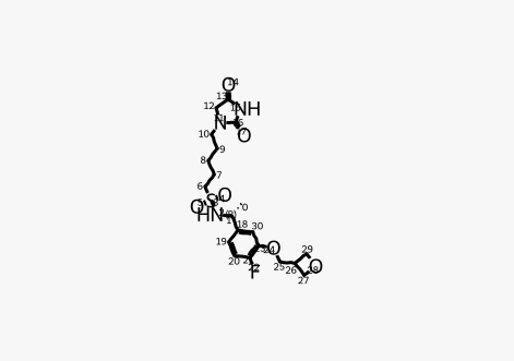 C[C@@H](NS(=O)(=O)CCCCCN1CC(=O)NC1=O)c1ccc(F)c(OCC2COC2)c1